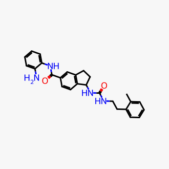 Cc1ccccc1CCNC(=O)NC1CCc2cc(C(=O)Nc3ccccc3N)ccc21